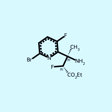 CCOC(=O)[C@H](F)[C@](C)(N)c1nc(Br)ccc1F